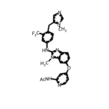 CC(=O)Nc1cc(Oc2ccc3nc(Nc4ccc(Cc5cncn5C)c(C(F)(F)F)c4)n(C)c3c2)ccn1